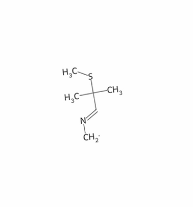 [CH2]N=CC(C)(C)SC